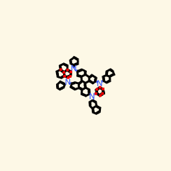 C1=CC2=CC=C(N(c3ccccc3)c3ccc4c5ccc(N(c6ccccc6)c6ccc7ccccc7c6)cc5c5c6cc(N(c7ccccc7)c7ccc8ccccc8c7)ccc6c6ccc(N(c7ccccc7)c7ccc8ccccc8c7)cc6c5c4c3)CC2C=C1